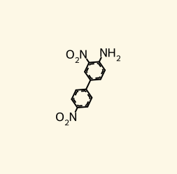 Nc1ccc(-c2ccc([N+](=O)[O-])cc2)cc1[N+](=O)[O-]